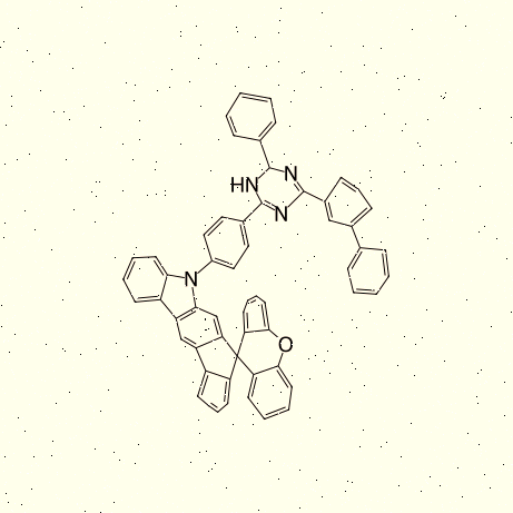 c1ccc(-c2cccc(C3=NC(c4ccccc4)NC(c4ccc(-n5c6ccccc6c6cc7c(cc65)C5(c6ccccc6Oc6ccccc65)c5ccccc5-7)cc4)=N3)c2)cc1